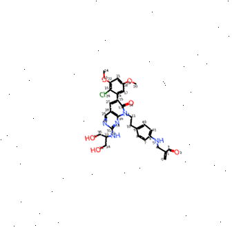 C=C(C=O)CNc1ccc(CCn2c(=O)c(-c3cc(OC)cc(OC)c3Cl)cc3cnc(NC(CO)CO)nc32)cc1